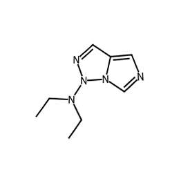 CCN(CC)n1ncc2cncn21